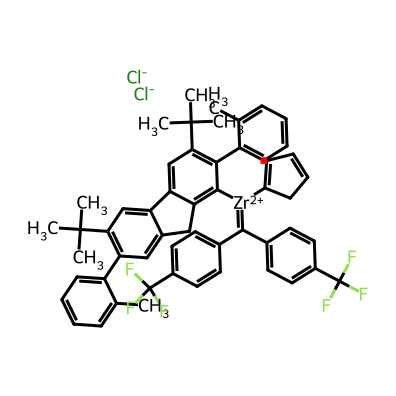 Cc1ccccc1-c1cc2c(cc1C(C)(C)C)-c1cc(C(C)(C)C)c(-c3ccccc3C)[c]([Zr+2]([C]3=CC=CC3)=[C](c3ccc(C(F)(F)F)cc3)c3ccc(C(F)(F)F)cc3)c1C2.[Cl-].[Cl-]